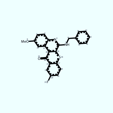 COc1ccc2nc(NCc3ccccc3)c3sc4ccc(F)cc4c(=O)c3c2c1